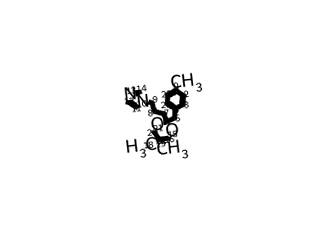 Cc1ccc(CC2(CCCn3ccnc3)OCC(C)(C)CO2)cc1